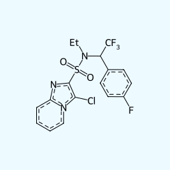 CCN(C(c1ccc(F)cc1)C(F)(F)F)S(=O)(=O)c1nc2ccccn2c1Cl